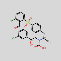 C[C@H](Cc1ccc(S(=O)(=O)c2cccc(Cl)c2C=O)cc1)N(C[C@@H](O)c1cccc(Cl)c1)C(=O)O